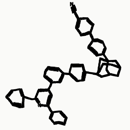 N#Cc1ccc(-c2ccc(C34CC5CC(C3)CC(c3ccc(-c6cccc(-c7cc(-c8ccccc8)nc(-c8ccccc8)c7)c6)cc3)(C5)C4)cc2)cc1